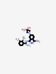 Cc1c([C@@H](N)Nc2nnc(C)c3ccc(N4CC(C)(O)C4)cc23)cccc1C(F)(F)F